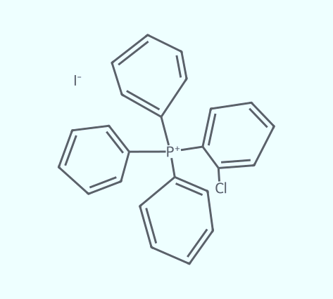 Clc1ccccc1[P+](c1ccccc1)(c1ccccc1)c1ccccc1.[I-]